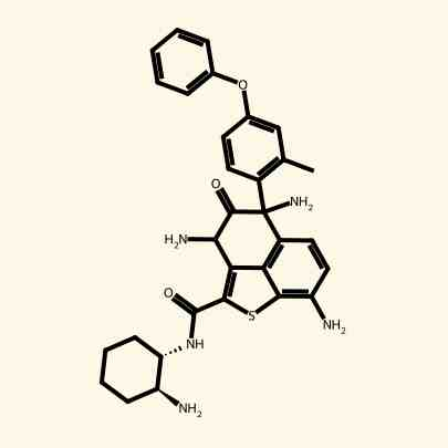 Cc1cc(Oc2ccccc2)ccc1C1(N)C(=O)C(N)c2c(C(=O)N[C@H]3CCCC[C@@H]3N)sc3c(N)ccc1c23